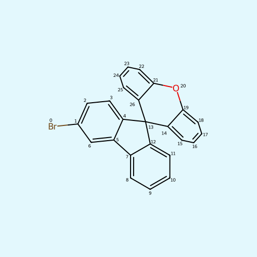 Brc1ccc2c(c1)-c1ccccc1C21c2ccccc2Oc2ccccc21